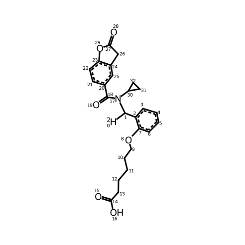 [2H]C(c1ccccc1OCCCCCC(=O)O)N(C(=O)c1ccc2c(c1)CC(=O)O2)C1CC1